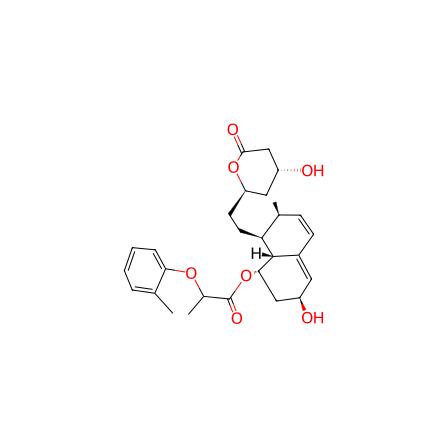 Cc1ccccc1OC(C)C(=O)O[C@H]1C[C@H](O)C=C2C=C[C@H](C)[C@H](CC[C@@H]3C[C@@H](O)CC(=O)O3)[C@H]21